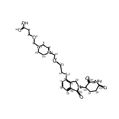 O=C(O)CCOCN1CCN(COCCSc2cccc3c2CN(C2CCC(=O)NC2=O)C3=O)CC1